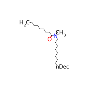 C=CCCCCCCC(=O)N(C)CCCCCCCCCCCCCCCCCC